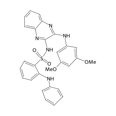 COc1cc(Nc2nc3ccccc3nc2NS(=O)(=O)c2ccccc2Nc2ccccc2)cc(OC)c1